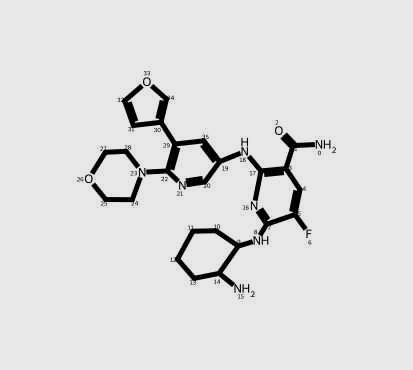 NC(=O)c1cc(F)c(NC2CCCCC2N)nc1Nc1cnc(N2CCOCC2)c(-c2ccoc2)c1